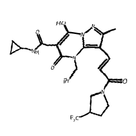 Cc1nn2c(O)c(C(=O)NC3CC3)c(=O)n(CC(C)C)c2c1C=CC(=O)N1CCC(C(F)(F)F)C1